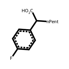 CCCCCC(C(=O)O)c1ccc(F)cc1